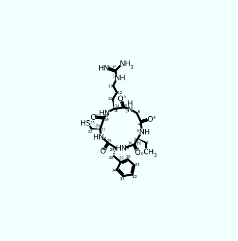 CC[C@@H]1NC(=O)CNC(=O)[C@H](CCCNC(=N)N)NC(=O)[C@H](CS)NC(=O)[C@@H](Cc2ccccc2)NC1=O